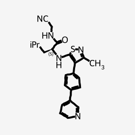 Cc1nsc(N[C@@H](CC(C)C)C(=O)NCC#N)c1-c1ccc(-c2cccnc2)cc1